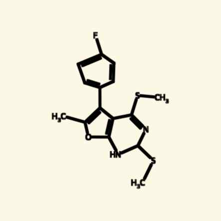 CSC1=NC(SC)Nc2oc(C)c(-c3ccc(F)cc3)c21